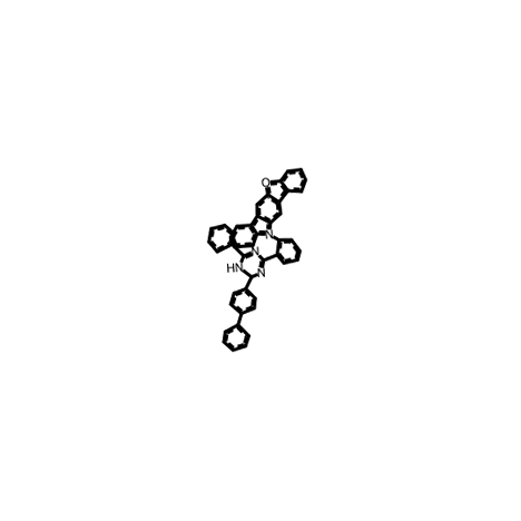 c1ccc(C2=NC(c3ccccc3-n3c4ccccc4c4cc5oc6ccccc6c5cc43)=NC(c3ccc(-c4ccccc4)cc3)N2)cc1